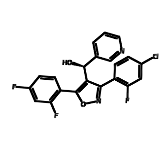 O[C@@H](c1cccnc1)c1c(-c2ccc(Cl)cc2F)noc1-c1ccc(F)cc1F